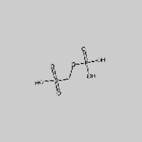 O=P(O)(O)OCS(=O)(=O)O